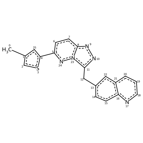 Cc1csc(-c2ccc3nnc(Cc4ccc5ncccc5c4)n3n2)c1